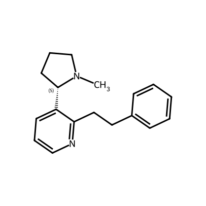 CN1CCC[C@H]1c1cccnc1CCc1ccccc1